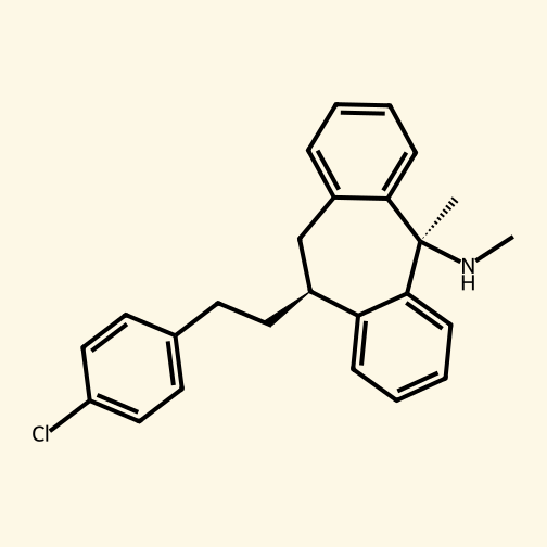 CN[C@]1(C)c2ccccc2C[C@H](CCc2ccc(Cl)cc2)c2ccccc21